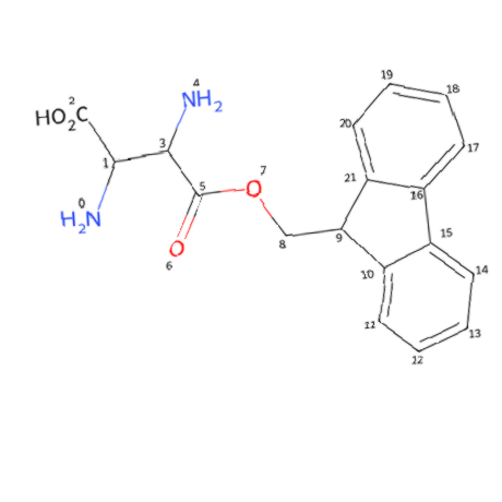 NC(C(=O)O)C(N)C(=O)OCC1c2ccccc2-c2ccccc21